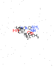 CN(CC(C)(C)O)C1CCN(C2C=C(NC(=O)OC(C)(C)C)C(N)=CC2)CC1